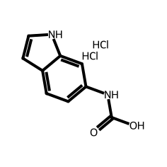 Cl.Cl.O=C(O)Nc1ccc2cc[nH]c2c1